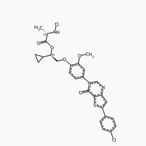 COc1cc(-n2cnc3cc(-c4ccc(Cl)cc4)sc3c2=O)ccc1OC[C@H](OC(=O)[C@H](C)NCl)C1CC1